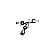 N#Cc1ccc(-c2cc(NC[C@H]3CCCNCC3)nn2-c2ccc(N3CCS(=O)(=O)CC3)cc2F)cc1F